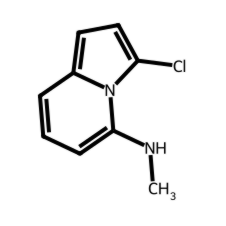 CNc1cccc2ccc(Cl)n12